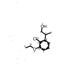 [CH2]C(CO)c1cccc(OCC)c1Cl